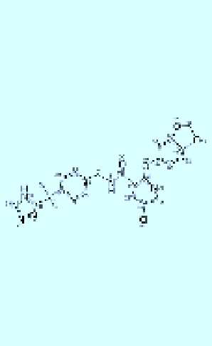 CC(C)(c1ccc(CNC(=O)c2cc(Cl)cnc2Oc2ccc3c(c2)OCO3)cc1)c1nnn[nH]1